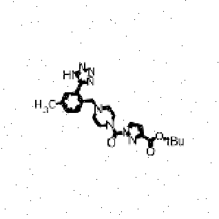 Cc1ccc(CN2CCN(C(=O)n3ccc(C(=O)OC(C)(C)C)n3)CC2)c(-c2nnn[nH]2)c1